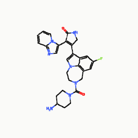 NC1CCN(C(=O)N2CCn3cc(C4=C(c5cnc6ccccn56)C(=O)NC4)c4cc(F)cc(c43)C2)CC1